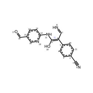 N#Cc1ccc(/C(C=N)=C(\O)Nc2ccc(C=O)cn2)cc1